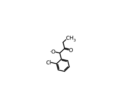 CCC(=O)C([O])c1ccccc1Cl